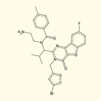 Cc1ccc(C(=O)N(CCN)C(c2nc3c(oc4ccc(F)cc43)c(=O)n2Cc2cc(Br)cs2)C(C)C)cc1